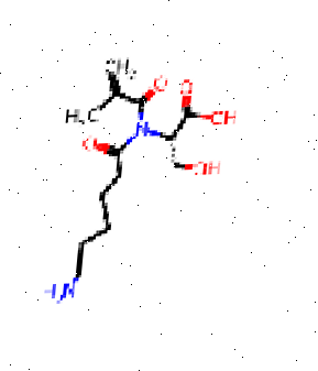 C=C(C)C(=O)N(C(=O)CCCCCN)[C@@H](CO)C(=O)O